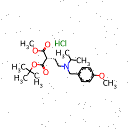 COC(=O)[C@H](CCN(Cc1ccc(OC)cc1)C(C)C)C(=O)OC(C)(C)C.Cl